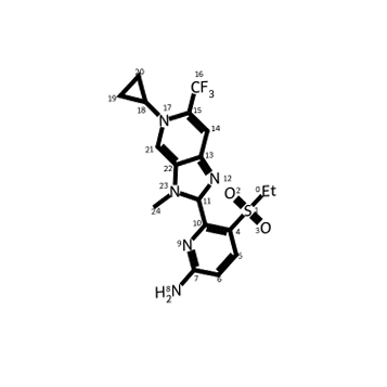 CCS(=O)(=O)c1ccc(N)nc1C1N=C2C=C(C(F)(F)F)N(C3CC3)C=C2N1C